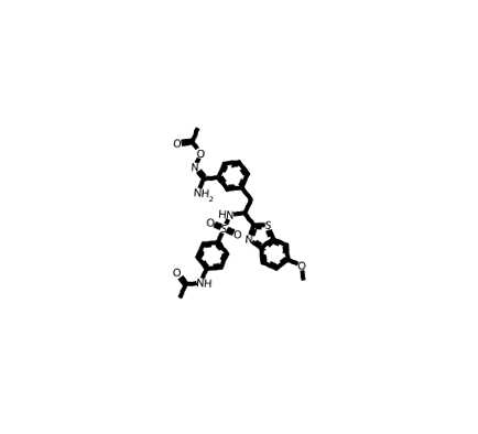 COc1ccc2nc(C(Cc3cccc(/C(N)=N\OC(C)=O)c3)NS(=O)(=O)c3ccc(NC(C)=O)cc3)sc2c1